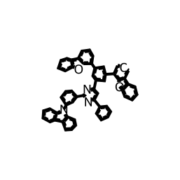 c1ccc(-c2cc(-c3cc(-c4cccc5c4oc4ccccc45)cc(-c4cccc5c4oc4ccccc45)c3)nc(-c3cccc(-n4c5ccccc5c5ccccc54)c3)n2)cc1